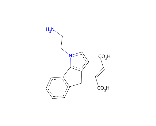 NCCn1ccc2c1-c1ccccc1C2.O=C(O)C=CC(=O)O